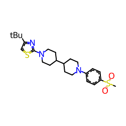 CC(C)(C)c1csc(N2CCC(C3CCN(c4ccc(S(C)(=O)=O)cc4)CC3)CC2)n1